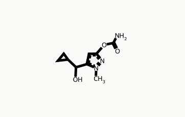 Cn1nc(OC(N)=O)cc1C(O)C1CC1